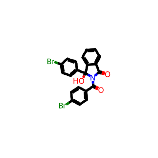 O=C(c1ccc(Br)cc1)N1C(=O)c2ccccc2C1(O)c1ccc(Br)cc1